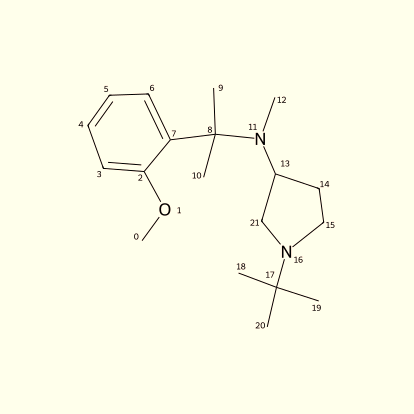 COc1ccccc1C(C)(C)N(C)C1CCN(C(C)(C)C)C1